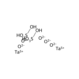 O=S(=O)(O)O.O=S(=O)(O)O.[O-2].[O-2].[O-2].[O-2].[O-2].[Ta+5].[Ta+5]